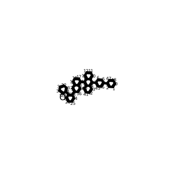 c1ccc(-c2ccc(-c3c4ccccc4c(-c4cccc5cc(-c6cccc7oc8ccccc8c67)ccc45)c4ccccc34)cc2)cc1